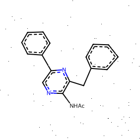 CC(=O)Nc1ncc(-c2ccccc2)nc1Cc1ccccc1